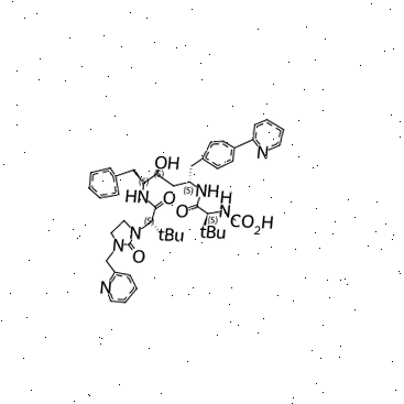 CC(C)(C)[C@H](NC(=O)O)C(=O)N[C@@H](Cc1ccc(-c2ccccn2)cc1)C[C@H](O)[C@H](Cc1ccccc1)NC(=O)[C@@H](N1CCN(Cc2ccccn2)C1=O)C(C)(C)C